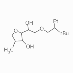 CCCCC(CC)COCC(O)C1OCC(C)C1O